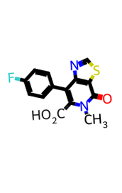 Cn1c(C(=O)O)c(-c2ccc(F)cc2)c2ncsc2c1=O